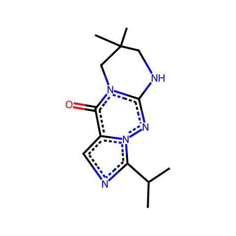 CC(C)c1ncc2c(=O)n3c(nn12)NCC(C)(C)C3